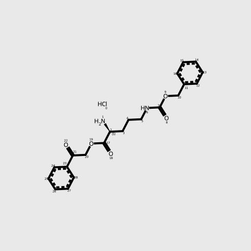 Cl.N[C@@H](CCCNC(=O)OCc1ccccc1)C(=O)OCC(=O)c1ccccc1